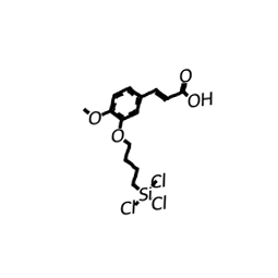 COc1ccc(C=CC(=O)O)cc1OCCCC[Si](Cl)(Cl)Cl